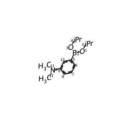 CC(C)OB(OC(C)C)c1cccc(N(C)C)c1